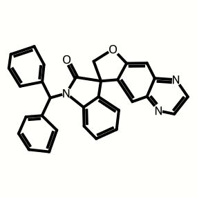 O=C1N(C(c2ccccc2)c2ccccc2)c2ccccc2C12COc1cc3nccnc3cc12